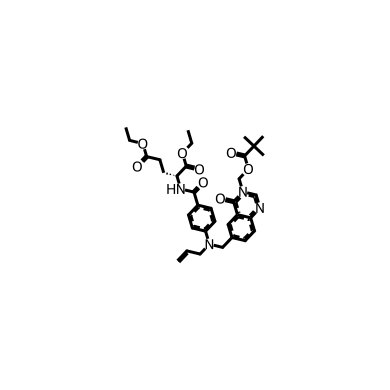 C=CCN(Cc1ccc2ncn(COC(=O)C(C)(C)C)c(=O)c2c1)c1ccc(C(=O)N[C@H](CCC(=O)OCC)C(=O)OCC)cc1